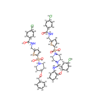 O=C(NCc1ccc(S(=O)(=O)N2CCC(OCc3ccccc3)CC2)s1)c1ccc(Cl)cc1.O=C(NCc1ccc(S(=O)(=O)N2CCN(C3=Nc4ccccc4Oc4ccc(Cl)cc43)CC2)s1)c1ccc(Cl)cc1